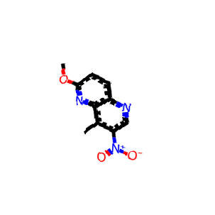 COc1ccc2ncc([N+](=O)[O-])c(C)c2n1